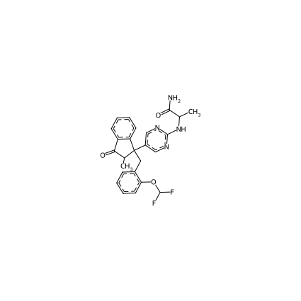 CC(Nc1ncc(C2(Cc3ccccc3OC(F)F)c3ccccc3C(=O)C2C)cn1)C(N)=O